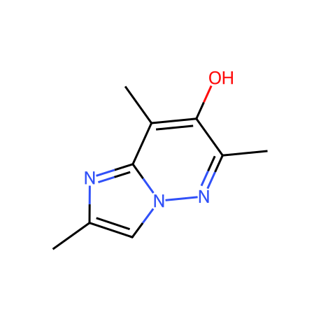 Cc1cn2nc(C)c(O)c(C)c2n1